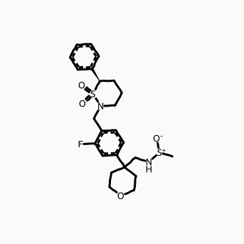 C[S+]([O-])NCC1(c2ccc(CN3CCC[C@H](c4ccccc4)S3(=O)=O)c(F)c2)CCOCC1